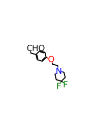 O=CCc1ccc(OCCN2CCC(F)(F)CC2)cc1